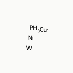 P.[Cu].[Ni].[W]